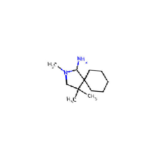 CN1CC(C)(C)C2(CCCCC2)C1N